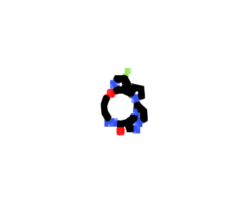 O=C1NCCCCOc2ncc(F)cc2[C@@H]2CCCN2c2ccn3ncc1c3n2